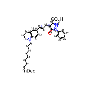 CCCCCCCCCCCCCCCCCCN1CCCc2cc(/C=C/C=C3\C(=O)N(c4ccccc4)N=C3C(=O)O)ccc21